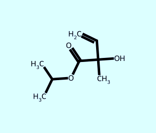 C=CC(C)(O)C(=O)OC(C)C